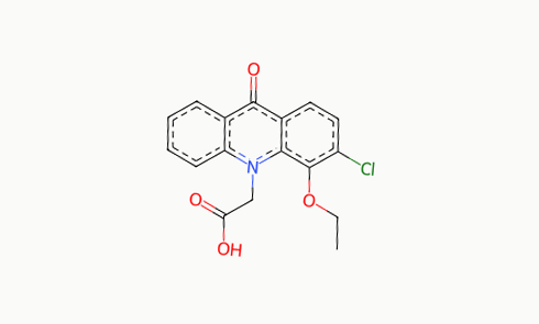 CCOc1c(Cl)ccc2c(=O)c3ccccc3n(CC(=O)O)c12